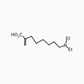 C=C(CCCCCCN(CC)CC)C(=O)O